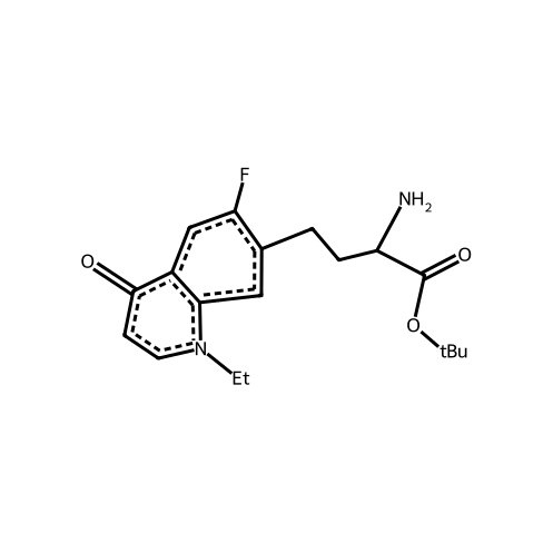 CCn1ccc(=O)c2cc(F)c(CCC(N)C(=O)OC(C)(C)C)cc21